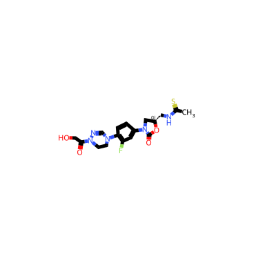 CC(=S)NC[C@H]1CN(c2ccc(N3C=NN(C(=O)CO)CC3)c(F)c2)C(=O)O1